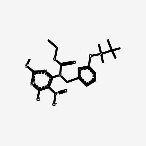 CCOC(=O)N(Cc1cccc(O[Si](C)(C)C(C)(C)C)c1)c1nc(SC)nc(Cl)c1[N+](=O)[O-]